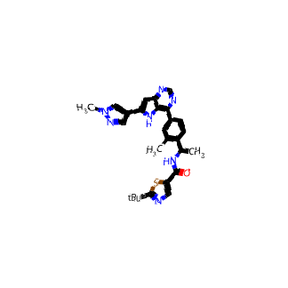 Cc1cc(-c2ncnc3cc(-c4cnn(C)c4)[nH]c23)ccc1C(C)NC(=O)c1cnc(C(C)(C)C)s1